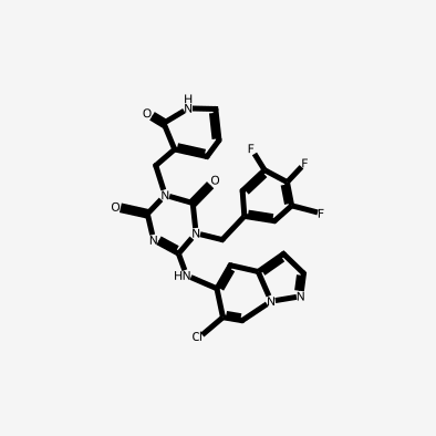 O=c1[nH]cccc1Cn1c(=O)nc(Nc2cc3ccnn3cc2Cl)n(Cc2cc(F)c(F)c(F)c2)c1=O